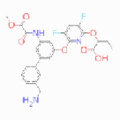 CCC(Oc1nc(Oc2cc(NC(=O)C(=O)OC)cc(-c3cccc(CN)c3)c2)c(F)cc1F)C(=O)O